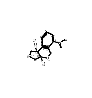 CN(C)c1cccc2c1CO[C@@H]1CNC[C@H]21